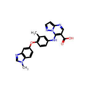 Cc1cc(Nc2c(C(=O)O)cnc3ccnn23)ccc1Oc1ccc2c(c1)ncn2C